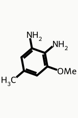 COc1cc(C)cc(N)c1N